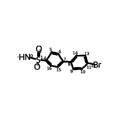 [NH]S(=O)(=O)c1ccc(-c2ccc(Br)cc2)cc1